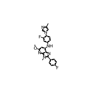 COc1cc(Nc2ccc(-n3cnc(C)c3)c(F)c2)c2nc(-c3ccc(F)cc3)n(C)c2n1